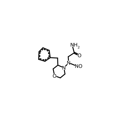 NC(=O)CN(N=O)N1CCOCC1Cc1ccccc1